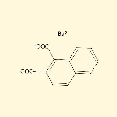 O=C([O-])c1ccc2ccccc2c1C(=O)[O-].[Ba+2]